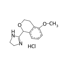 COc1cccc2c1CCOC2C1=NCCN1.Cl